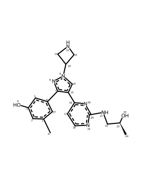 Cc1cc(O)cc(-c2nn(C3CNC3)cc2-c2ccnc(NC[C@H](C)O)n2)c1